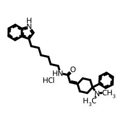 CN(C)C1(c2ccccc2)CCC(=CC(=O)NCCCCCCc2c[nH]c3ccccc23)CC1.Cl